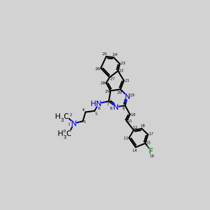 CN(C)CCCNc1nc(C=Cc2ccc(F)cc2)nc2cc3ccccc3cc12